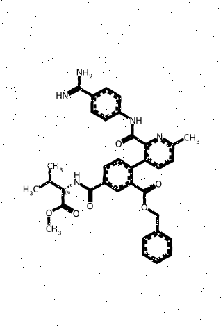 COC(=O)[C@@H](NC(=O)c1ccc(-c2ccc(C)nc2C(=O)Nc2ccc(C(=N)N)cc2)c(C(=O)OCc2ccccc2)c1)C(C)C